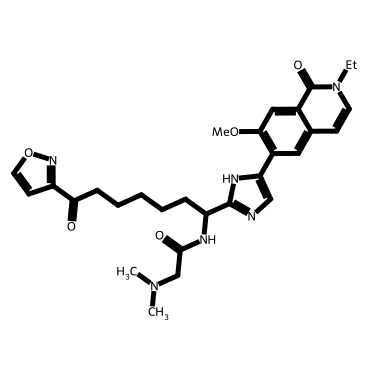 CCn1ccc2cc(-c3cnc(C(CCCCCC(=O)c4ccon4)NC(=O)CN(C)C)[nH]3)c(OC)cc2c1=O